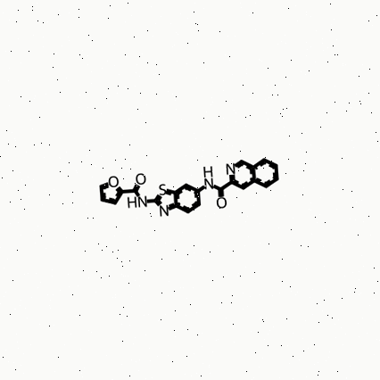 O=C(Nc1ccc2nc(NC(=O)c3ccco3)sc2c1)c1cc2ccccc2cn1